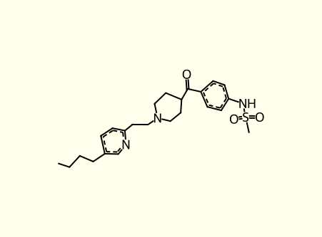 CCCCc1ccc(CCN2CCC(C(=O)c3ccc(NS(C)(=O)=O)cc3)CC2)nc1